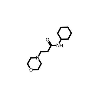 O=C(CCN1CCOCC1)NC1CCCCC1